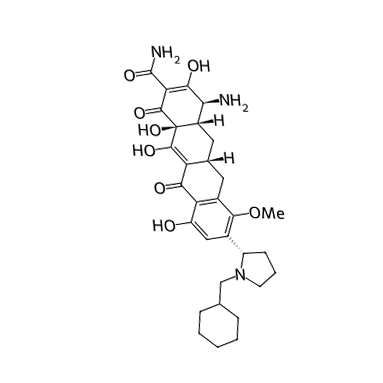 COc1c([C@@H]2CCCN2CC2CCCCC2)cc(O)c2c1C[C@H]1C[C@H]3[C@H](N)C(O)=C(C(N)=O)C(=O)[C@@]3(O)C(O)=C1C2=O